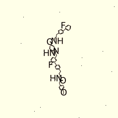 COc1ccc(CC(=O)NCCCc2ccc(-c3cc(Cc4nc5cc(C(=O)NCCCc6ccc(-c7ccccc7F)cc6)ccc5[nH]4)ccc3F)cc2)cc1